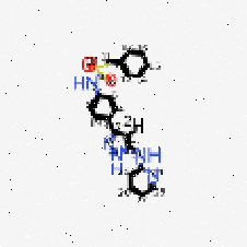 [2H]c1c(-c2ccc(NS(=O)(=O)Cc3ccccc3)cc2)n[nH]c1Nc1ccccn1